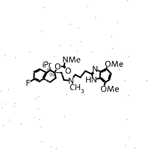 CNC(=O)O[C@]1(CCN(C)CCCc2nc3c(OC)ccc(OC)c3[nH]2)CCc2cc(F)ccc2[C@@H]1C(C)C